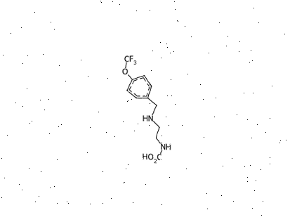 O=C(O)NCCNCc1ccc(OC(F)(F)F)cc1